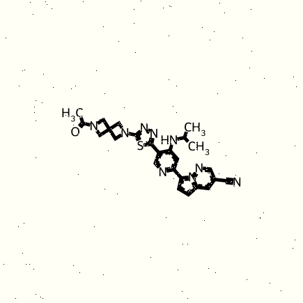 CC(=O)N1CC2(C1)CN(c1nnc(-c3cnc(-c4ccc5cc(C#N)cnn45)cc3NC(C)C)s1)C2